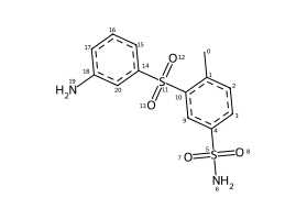 Cc1ccc(S(N)(=O)=O)cc1S(=O)(=O)c1cccc(N)c1